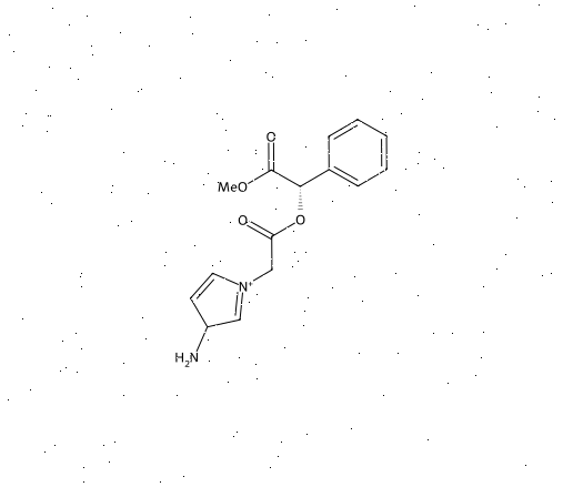 COC(=O)[C@@H](OC(=O)C[N+]1=CC(N)C=C1)c1ccccc1